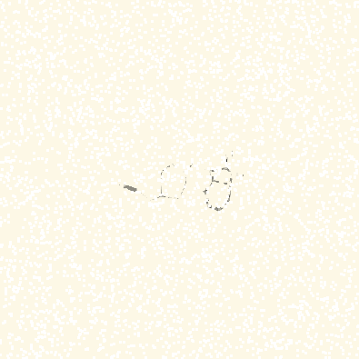 N#CCC1CN[C@@H]2Cc3c(Cl)[nH]c4cccc(c34)C2C1